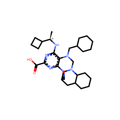 C=Nc1nc(C(=O)O)nc(N[C@H](C)C2CCC2)c1N(CC1CCCCC1)CN1CCCC2CCCCC21